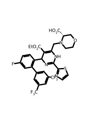 CCOC(=O)C1=C(CN2CCOC[C@H]2C(=O)O)NC(c2nccs2)=NC1c1ccc(F)cc1-c1cc(C(F)(F)F)cc(C(F)(F)F)c1